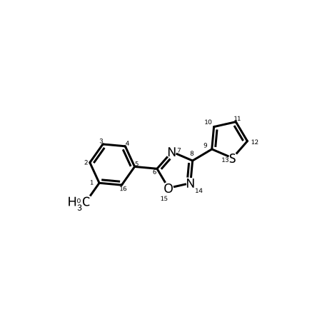 Cc1cccc(-c2nc(-c3cccs3)no2)c1